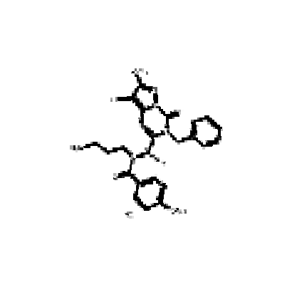 COc1ccc(C(=O)N(CCCN)[C@@H](c2nc3c(Cl)c(OC)nn3c(=O)n2Cc2ccccc2)C(C)C)cc1.Cl